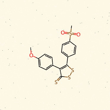 COc1ccc(-c2c(-c3ccc(S(C)(=O)=O)cc3)ssc2=S)cc1